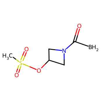 BC(=O)N1CC(OS(C)(=O)=O)C1